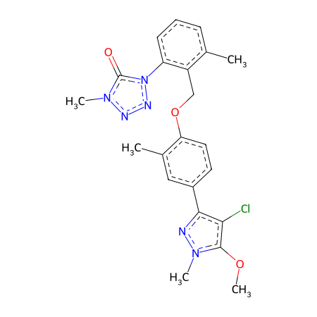 COc1c(Cl)c(-c2ccc(OCc3c(C)cccc3-n3nnn(C)c3=O)c(C)c2)nn1C